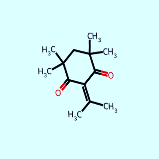 CC(C)=C1C(=O)C(C)(C)CC(C)(C)C1=O